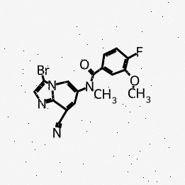 COc1cc(C(=O)N(C)c2cc(C#N)c3ncc(Br)n3c2)ccc1F